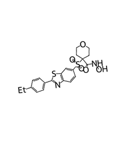 CCc1ccc(-c2nc3ccc(S(=O)(=O)C4(C(=O)NO)CCOCC4)cc3s2)cc1